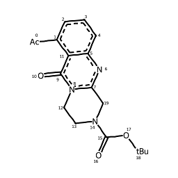 CC(=O)c1cccc2nc3n(c(=O)c12)CCN(C(=O)OC(C)(C)C)C3